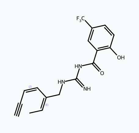 C#C/C=C\C(=C/C)CNC(=N)NC(=O)c1cc(C(F)(F)F)ccc1O